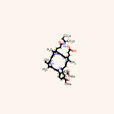 C=Cc1c(C)c2cc3nc(cc4[nH]c(cc5nc(cc1[nH]2)C(C)=C5CCC(=O)N[C@@H](CC(=O)O)C(=O)O)c(CCC(O)O)c4C)[C@@]1(C)C3=CC=C(C(=O)OC)[C@H]1C(=O)OC